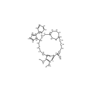 COc1cc2cc(c1OC)OCCCC(n1nnnc1-c1ccccc1)CCN1CCCN(CCCOC2=O)CC1